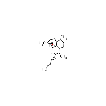 C[C@H]1C(OCCCO)O[C@@H]2O[C@]3(C)CCC4[C@H](C)CCC1[C@]42OO3